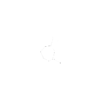 BC1CCCCN(C(C)C)C1